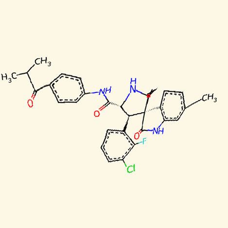 Cc1ccc2c(c1)NC(=O)[C@]21[C@@H](c2cccc(Cl)c2F)[C@H](C(=O)Nc2ccc(C(=O)C(C)C)cc2)NC12CCCCC2